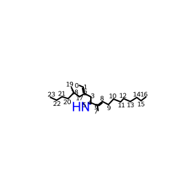 C/C=C(/CC(=N)C(C)=CCCCCCCCC)CC(C)CCCC